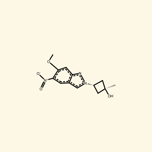 COc1cc2nn([C@H]3C[C@](C)(O)C3)cc2cc1[N+](=O)[O-]